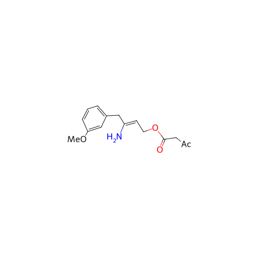 COc1cccc(CC(N)=CCOC(=O)CC(C)=O)c1